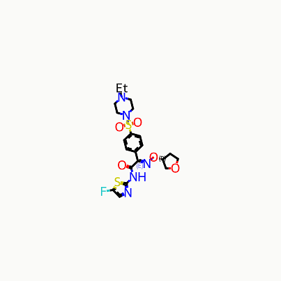 CCN1CCN(S(=O)(=O)c2ccc(/C(=N\O[C@@H]3CCOC3)C(=O)Nc3ncc(F)s3)cc2)CC1